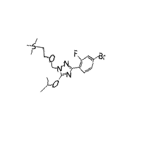 CC(C)Oc1nc(-c2ccc(Br)cc2F)nn1COCCS(C)(C)C